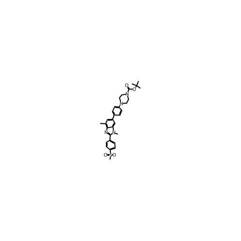 Cc1cc(-c2ccc(N3CCN(C(=O)OC(C)(C)C)CC3)cc2)cc2c1nc(-c1ccc(S(C)(=O)=O)cc1)n2C